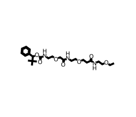 CCOCCNC(=O)CCOCCNC(=O)COCCNC(=O)OC(c1ccccc1)C(C)(C)C